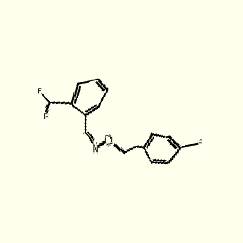 Fc1ccc(CO/N=[C]\c2ccccc2C(F)F)cc1